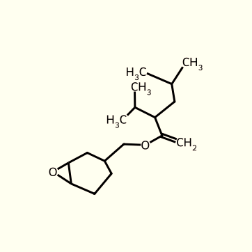 C=C(OCC1CCC2OC2C1)C(CC(C)C)C(C)C